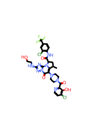 CC1CC(C(=O)Nc2ccc(C(F)(F)F)cc2Cl)n2c1c(N1CCN(C(=O)c3nccc(Cl)c3O)CC1)c(=O)n1nc(NCCO)nc21